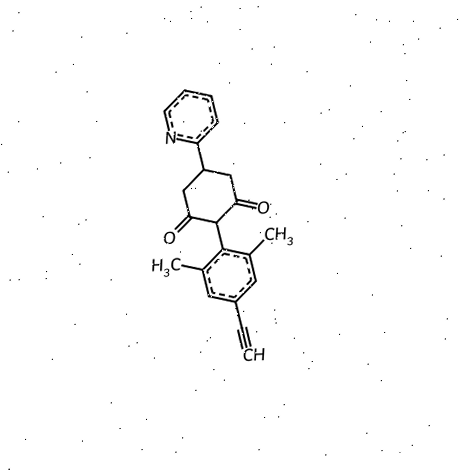 C#Cc1cc(C)c(C2C(=O)CC(c3ccccn3)CC2=O)c(C)c1